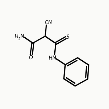 N#CC(C(N)=O)C(=S)Nc1ccccc1